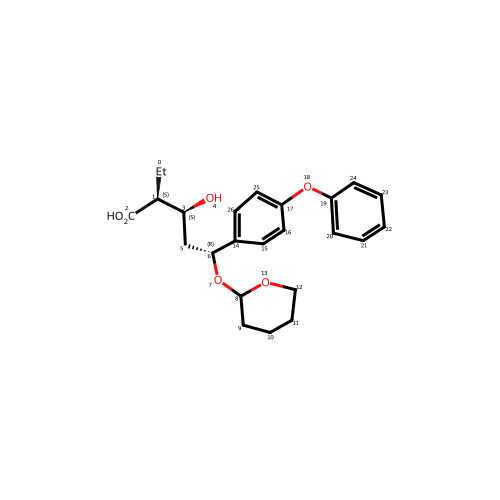 CC[C@H](C(=O)O)[C@@H](O)C[C@@H](OC1CCCCO1)c1ccc(Oc2ccccc2)cc1